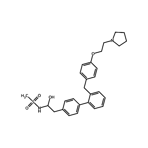 CS(=O)(=O)NC(O)Cc1ccc(-c2ccccc2Cc2ccc(OCCN3CCCC3)cc2)cc1